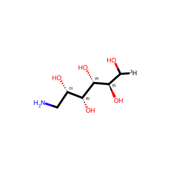 [2H]C(O)[C@@H](O)[C@@H](O)[C@H](O)[C@@H](O)CN